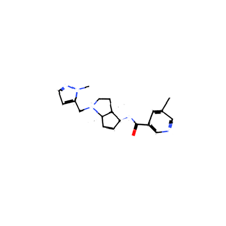 Cc1cncc(C(=O)N[C@H]2CC[C@@H]3[C@H]2CCN3Cc2ccnn2C)c1